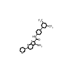 Nc1c(C(=O)Nc2ccc(-c3cc(C(F)(F)F)cc(C(F)(F)F)c3)cc2)sc2nc(-c3cccnc3)ccc12